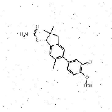 CCCCOc1ccc(-c2cc3c(cc2F)[C@H](OC(N)=O)C(C)(C)C3)cc1Cl